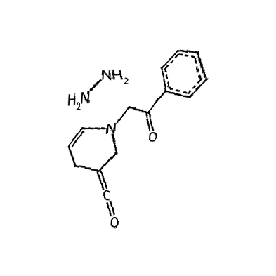 NN.O=C=C1CC=CN(CC(=O)c2ccccc2)C1